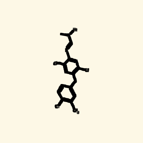 CCN(C)C=Nc1cc(Cl)c(Cc2ccc(Cl)c(C(F)(F)F)c2)cc1Cl